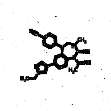 CCn1cc(-c2ccc3c(c2)N(c2ccc(C#N)cc2)C[C@@H](C)C(=N)N3C(C)=N)cn1